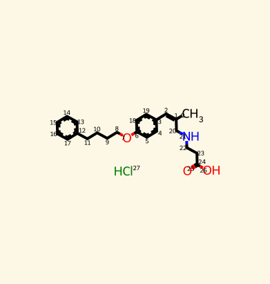 CC(=Cc1ccc(OCCCCc2ccccc2)cc1)CNCCC(=O)O.Cl